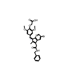 COc1cc(/C=C2/C(C)=C(CC(=O)NCc3ccccc3)c3cc(Br)cnc32)cc(OC)c1OCC(=O)O